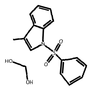 Cc1cn(S(=O)(=O)c2ccccc2)c2ccccc12.OCO